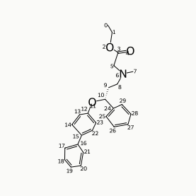 CCOC(=O)CN(C)CC[C@@H](Oc1ccc(-c2ccccc2)cc1)c1ccccc1